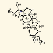 CC[C@@]1(O)CC[C@H]2[C@@H](CC[C@@H]3[C@@H]2CC[C@]2(C)/C(=C(/O)CBr)CC[C@@H]32)C1